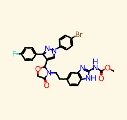 COC(=O)Nc1nc2cc(CCN3C(=O)COC3c3cn(-c4ccc(Br)cc4)nc3-c3ccc(F)cc3)ccc2[nH]1